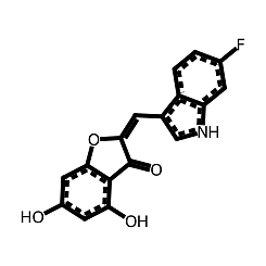 O=C1C(=Cc2c[nH]c3cc(F)ccc23)Oc2cc(O)cc(O)c21